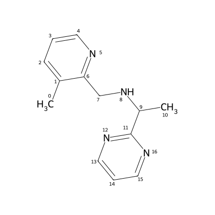 Cc1cccnc1CNC(C)c1ncccn1